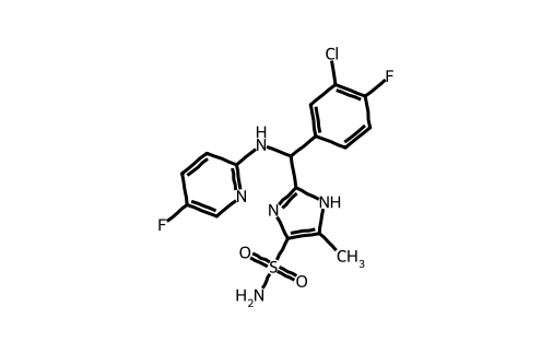 Cc1[nH]c(C(Nc2ccc(F)cn2)c2ccc(F)c(Cl)c2)nc1S(N)(=O)=O